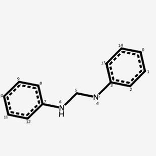 c1ccc([N]CNc2ccccc2)cc1